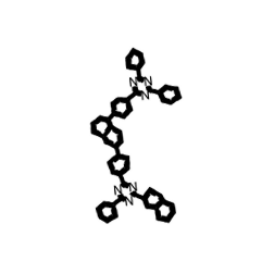 c1ccc(-c2nc(-c3ccccc3)nc(-c3ccc(-c4cccc5cc(-c6ccc(-c7nc(-c8ccccc8)nc(-c8ccc9ccccc9c8)n7)cc6)ccc45)cc3)n2)cc1